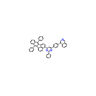 c1ccc(-c2nc(-c3ccc(-c4cncc5ccccc45)cc3)cc(-c3ccc4c5c(cccc35)-c3c-4c(-c4ccccc4)c4ccccc4c3-c3ccccc3)n2)cc1